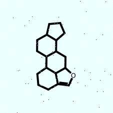 C1=C2CCCC3C4CCC5CCCC5C4CC(O1)C23